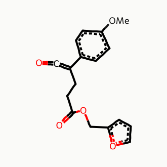 COc1ccc(C(=C=O)CCC(=O)OCc2ccco2)cc1